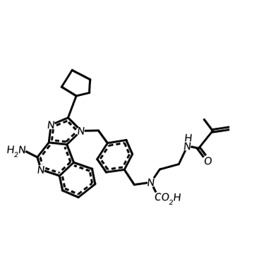 C=C(C)C(=O)NCCN(Cc1ccc(Cn2c(C3CCCC3)nc3c(N)nc4ccccc4c32)cc1)C(=O)O